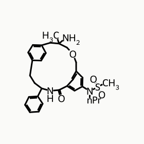 CCCN(c1cc2cc(c1)C(=O)NC(c1ccccc1)CCc1ccc(cc1)CC(C)(N)COC2)S(C)(=O)=O